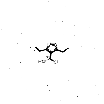 CCc1noc(CC)c1[C@@H](O)Cl